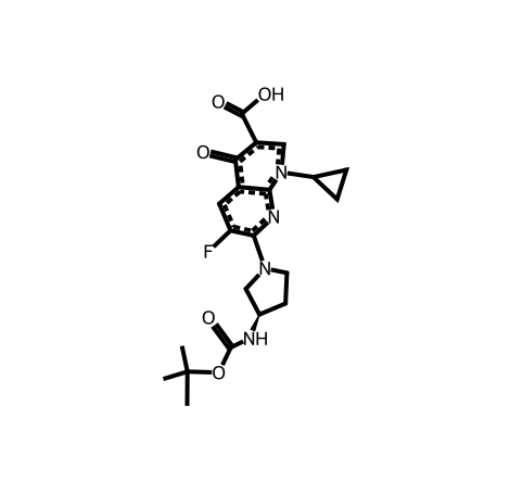 CC(C)(C)OC(=O)N[C@@H]1CCN(c2nc3c(cc2F)c(=O)c(C(=O)O)cn3C2CC2)C1